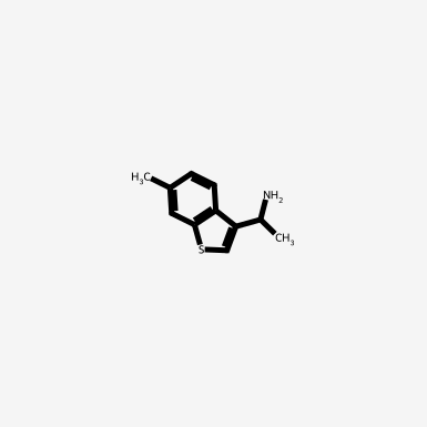 Cc1ccc2c(C(C)N)csc2c1